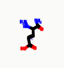 NNC(/C=C/C(=O)O)C(N)=O